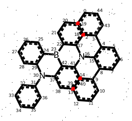 c1ccc(-c2cccc(-c3ccccc3)c2N2c3ccccc3B3c4ccccc4N(c4ccccc4)c4cccc2c43)cc1